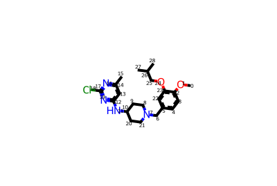 COc1ccc(CN2CCC(Nc3cc(C)nc(Cl)n3)CC2)cc1OCC(C)C